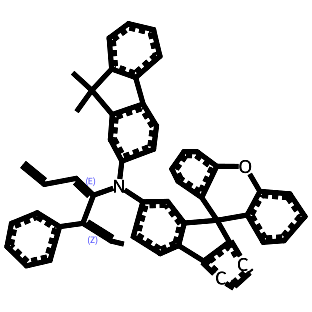 C=C/C=C(\C(=C/C)c1ccccc1)N(c1ccc2c(c1)C(C)(C)c1ccccc1-2)c1ccc2c(c1)C1(c3ccccc3Oc3ccccc31)c1ccccc1-2